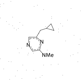 CNc1cncc(CC2CC2)n1